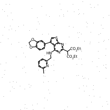 CCOC(=O)C(C(=O)OCC)c1nc(NCc2cccc(C)n2)c2c(-c3ccc4c(c3)OCO4)csc2n1